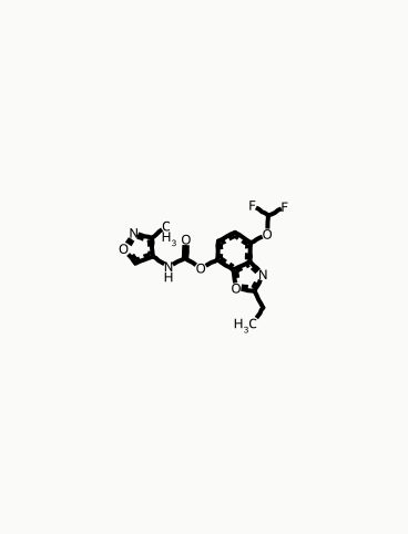 CCc1nc2c(OC(F)F)ccc(OC(=O)Nc3conc3C)c2o1